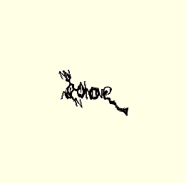 Cn1cc(-c2cc(-c3ccc(N4CCN(C(=O)CC/C=C/CC5CC5)CC4)nc3)c3c(C#N)cnn3c2)cn1